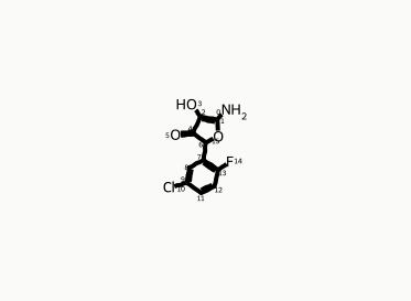 NC1=C(O)C(=O)C(c2cc(Cl)ccc2F)O1